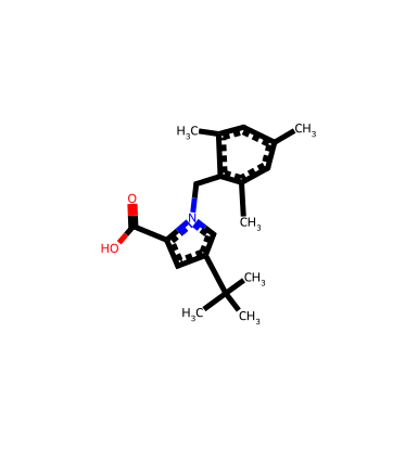 Cc1cc(C)c(Cn2cc(C(C)(C)C)cc2C(=O)O)c(C)c1